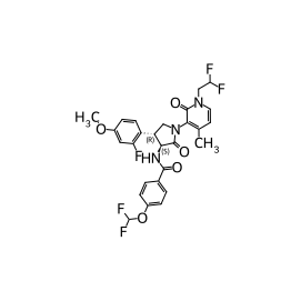 COc1ccc([C@@H]2CN(c3c(C)ccn(CC(F)F)c3=O)C(=O)[C@H]2NC(=O)c2ccc(OC(F)F)cc2)c(F)c1